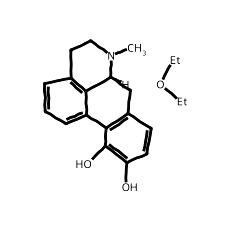 CCOCC.CN1CCc2cccc3c2[C@H]1Cc1ccc(O)c(O)c1-3